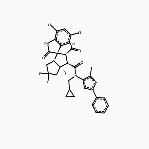 Cc1nn(-c2ccccc2)cc1N(CC1CC1)C(=O)[C@H]1[C@H]2CC(F)(F)CN2[C@]2(C(=O)Nc3c(Cl)cc(Cl)cc32)[C@H]1C(=O)O